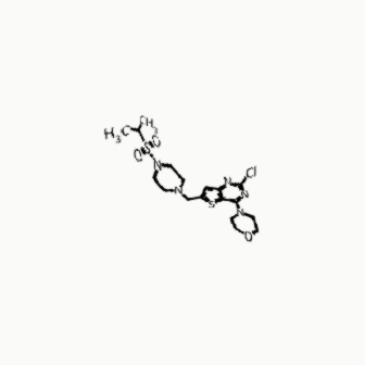 CC(C)S(=O)(=O)N1CCN(Cc2cc3nc(Cl)nc(N4CCOCC4)c3s2)CC1